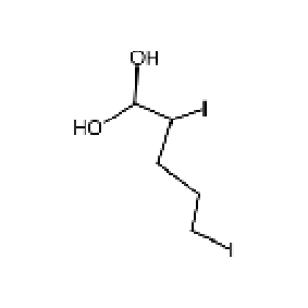 OC(O)C(I)CCCI